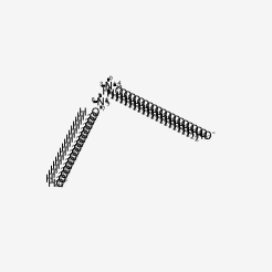 C[N+](C)(C)C.C[N+](C)(C)C.O.O.O.O.O.O.O.O.O.O.O.O.O.O.O.O.O.O.O.O.O.O.O.O.O.O.O.O.O.O.O.O.O.O.O.O.[OH-].[OH-]